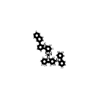 c1ccc2cc(-c3cccc4c3sc3ccc5nc(-n6c7ccccc7c7ccc(-n8c9ccccc9c9ccccc98)cc76)sc5c34)ccc2c1